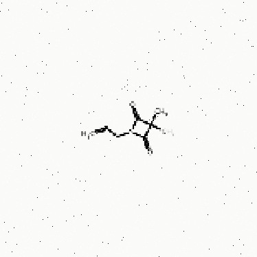 C=CCN1C(=O)C(C)(C)C1=O